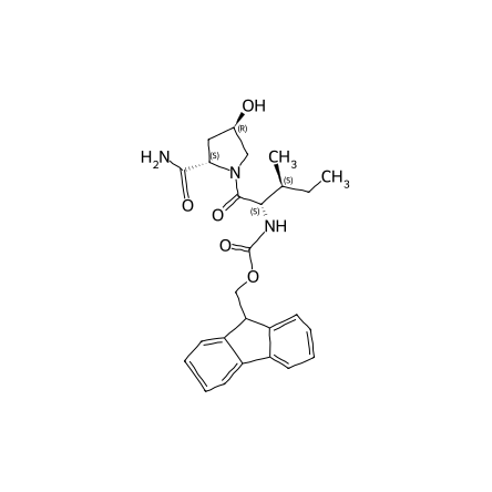 CC[C@H](C)[C@H](NC(=O)OCC1c2ccccc2-c2ccccc21)C(=O)N1C[C@H](O)C[C@H]1C(N)=O